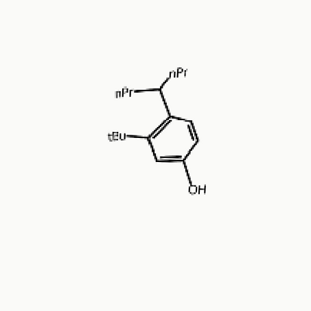 CCCC(CCC)c1ccc(O)cc1C(C)(C)C